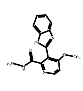 COc1ccnc(C(=O)NN)c1-c1nc2ccccc2[nH]1